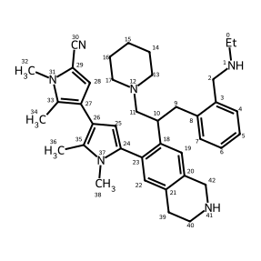 CCNCc1ccccc1CC(CN1CCCCC1)c1cc2c(cc1-c1cc(-c3cc(C#N)n(C)c3C)c(C)n1C)CCNC2